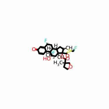 C[C@@H]1C[C@H]2[C@@H]3C[C@H](F)C4=CC(=O)C=C[C@]4(C)[C@@]3(F)[C@@H](O)C[C@]2(C)[C@@]1(OC(=O)[C@@]1(C)CCOC1)C(=O)SCF